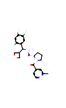 CC[C@@H]1CC[C@H](C(=O)NC(c2cc(F)c(Cl)cc2F)C2COC2)N1C(=O)c1ccnc(C(C)C)c1